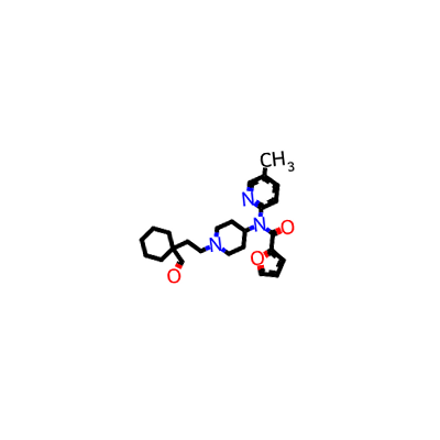 Cc1ccc(N(C(=O)c2ccco2)C2CCN(CCC3(C=O)CCCCC3)CC2)nc1